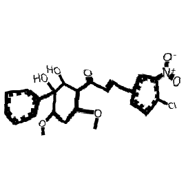 COC1CC(OC)C(O)(c2ccccc2)C(O)C1C(=O)C=Cc1ccc(Cl)c([N+](=O)[O-])c1